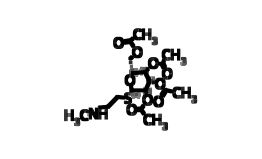 CNCCCS[C@@H]1O[C@H](COC(C)=O)[C@@H](OC(C)=O)[C@H](OC(C)=O)[C@H]1OC(C)=O